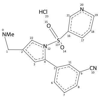 CNCc1cc(-c2cccc(C#N)c2)n(S(=O)(=O)c2cccnc2)c1.Cl